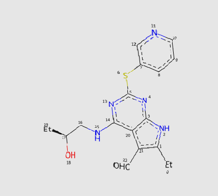 CCc1[nH]c2nc(Sc3cccnc3)nc(NC[C@@H](O)CC)c2c1C=O